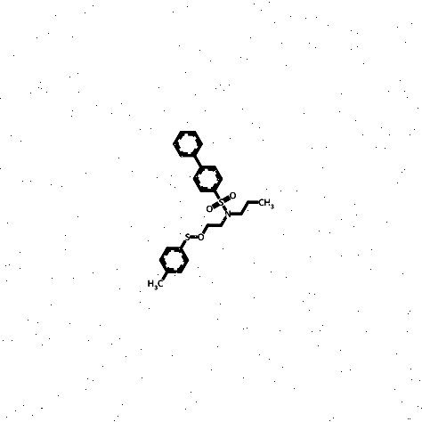 CCCN(CCOSc1ccc(C)cc1)S(=O)(=O)c1ccc(-c2ccccc2)cc1